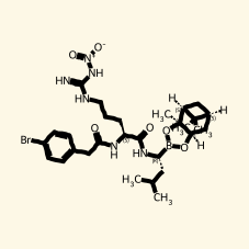 CC(C)C[C@H](NC(=O)[C@H](CCCNC(=N)N[N+](=O)[O-])NC(=O)Cc1ccc(Br)cc1)B1O[C@@H]2C[C@@H]3C[C@@H](C3(C)C)[C@]2(C)O1